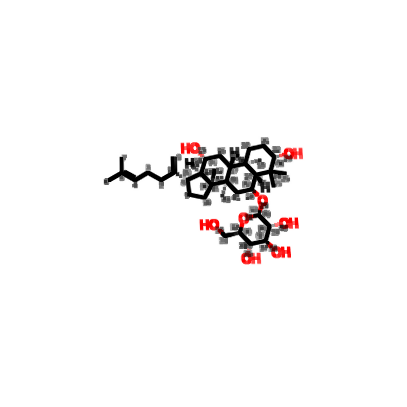 C=C(CCC=C(C)C)[C@H]1CC[C@]2(C)[C@@H]1[C@H](O)C[C@@H]1[C@@]3(C)CC[C@H](O)C(C)(C)[C@@H]3[C@@H](O[C@@H]3O[C@H](CO)[C@@H](O)[C@H](O)[C@H]3O)C[C@]12C